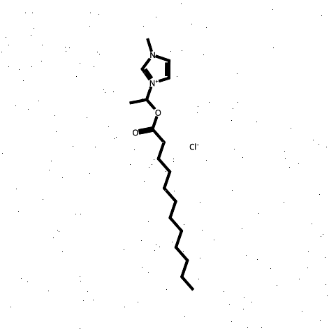 CCCCCCCCCCCC(=O)OC(C)[n+]1ccn(C)c1.[Cl-]